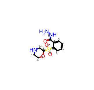 NNC(=O)c1ccccc1S(=O)(=O)C1CNCCO1